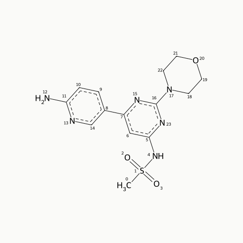 CS(=O)(=O)Nc1cc(-c2ccc(N)nc2)nc(N2CCOCC2)n1